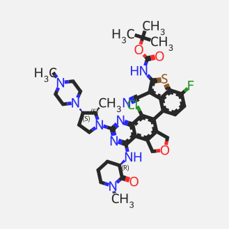 C[C@H]1[C@@H](N2CCN(C)CC2)CCN1c1nc(N[C@@H]2CCCN(C)C2=O)c2c3c(c(-c4ccc(F)c5sc(NC(=O)OC(C)(C)C)c(C#N)c45)c(Cl)c2n1)COC3